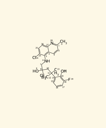 Cc1ccc2c(NCC(O)(CC(C)(C)c3cccc(F)c3O)C(F)(F)F)c(Cl)ccc2n1